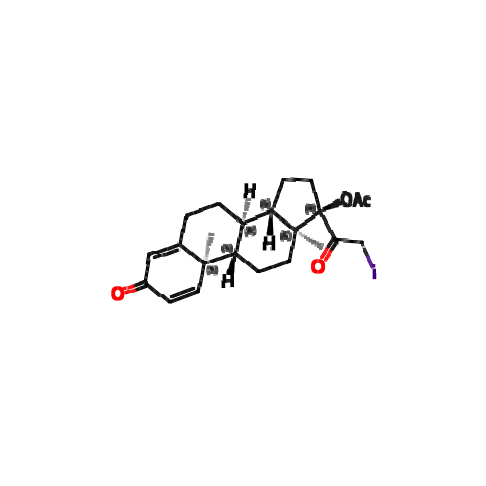 CC(=O)O[C@]1(C(=O)CI)CC[C@H]2[C@@H]3CCC4=CC(=O)C=C[C@]4(C)[C@H]3CC[C@@]21C